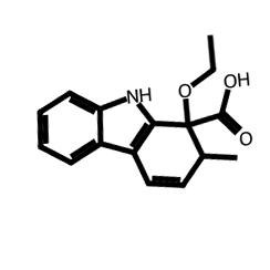 CCOC1(C(=O)O)c2[nH]c3ccccc3c2C=CC1C